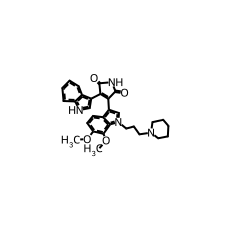 COc1ccc2c(C3=C(c4c[nH]c5ccccc45)C(=O)NC3=O)cn(CCCN3CCCCC3)c2c1OC